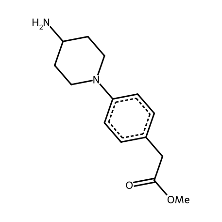 COC(=O)Cc1ccc(N2CCC(N)CC2)cc1